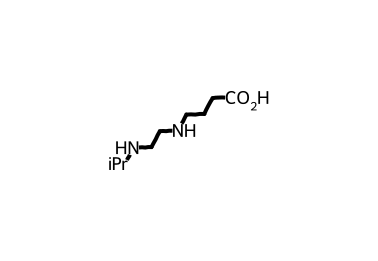 CC(C)NCCNCCCC(=O)O